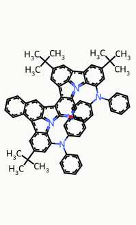 CC(C)(C)c1cc(N(c2ccccc2)c2ccccc2)c2c(c1)c1cc(C(C)(C)C)cc3c4c5c6cc7ccccc7c7c8cc(C(C)(C)C)cc(N(c9ccccc9)c9ccccc9)c8n(c5ncc4n2c13)c67